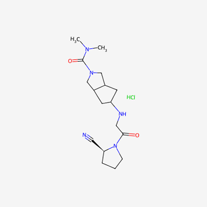 CN(C)C(=O)N1CC2CC(NCC(=O)N3CCC[C@H]3C#N)CC2C1.Cl